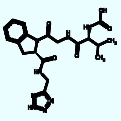 CC(C)[C@H](NC(=O)O)C(=O)NCC(=O)N1c2ccccc2C[C@H]1C(=O)NCc1nn[nH]n1